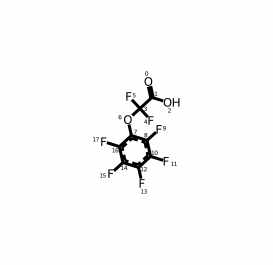 O=C(O)C(F)(F)Oc1c(F)c(F)c(F)c(F)c1F